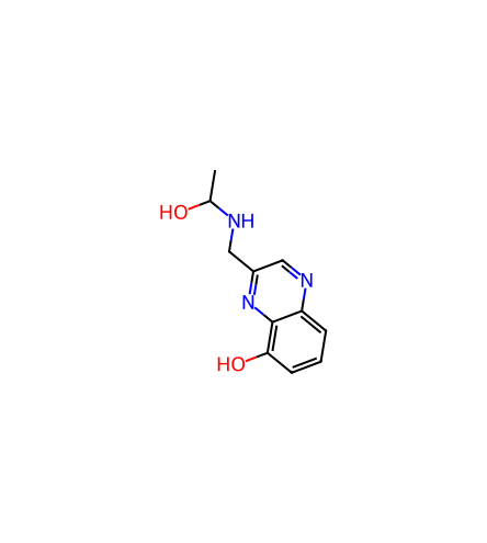 CC(O)NCc1cnc2cccc(O)c2n1